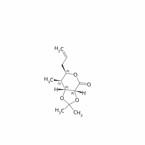 C=CC[C@H]1OC(=O)[C@@H]2OC(C)(C)O[C@@H]2[C@H]1C